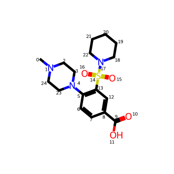 CN1CCN(c2ccc(C(=O)O)cc2S(=O)(=O)N2CCCCC2)CC1